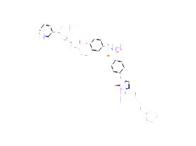 O=c1[nH]c(CCCCC2CCCC2)cn1-c1ccc(S(=O)(=O)Nc2ccc3c(c2)CCC(CNCC(O)c2cccnc2)O3)cc1